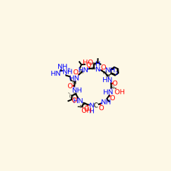 CC[C@H](C)[C@@H]1NC(=O)[C@@H](CCCNC(=N)N)NC(=O)[C@H](CC(C)C)NC(=O)[C@H]([C@H](O)C(C)C)NC(=O)[C@@H](N)[C@@H](c2ccccc2)NC(=O)[C@H](CO)NC(=O)C(C)NC(=O)CNC(=O)[C@H]([C@H](C)O)NC1=O